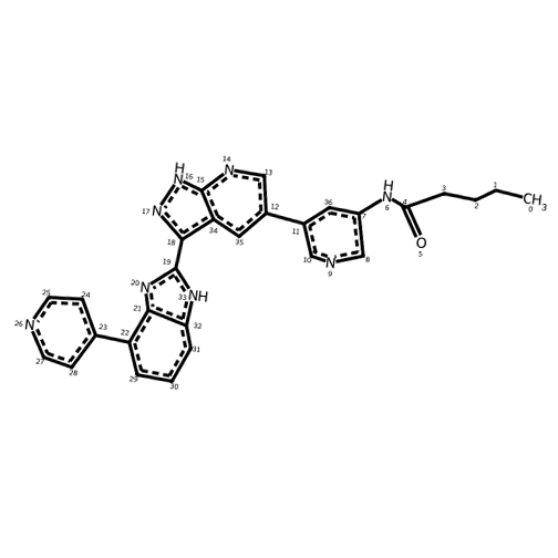 CCCCC(=O)Nc1cncc(-c2cnc3[nH]nc(-c4nc5c(-c6ccncc6)cccc5[nH]4)c3c2)c1